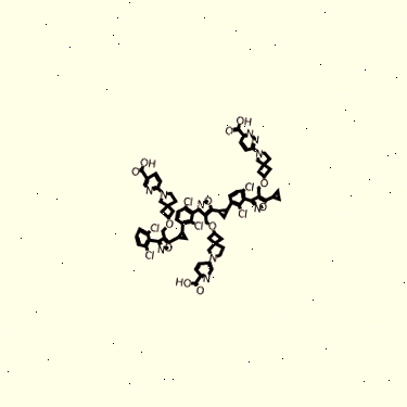 O=C(O)c1ccc(N2CCC3(CC(OCc4c(-c5c(Cl)cccc5Cl)noc4C4CC4c4ccc(Cl)c(-c5noc(C6CC6c6ccc(Cl)c(-c7noc(C8CC8)c7COC7CC8(CCN(c9ccc(C(=O)O)nn9)C8)C7)c6Cl)c5COC5CC6(CCN(c7ccc(C(=O)O)nc7)C6)C5)c4Cl)C3)C2)nc1